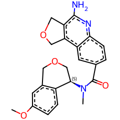 COc1ccc2c(c1)COC[C@H]2N(C)C(=O)c1ccc2nc(N)c3c(c2c1)COC3